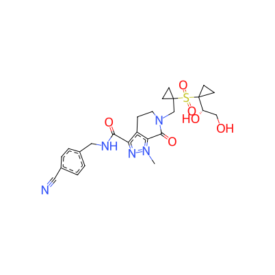 Cn1nc(C(=O)NCc2ccc(C#N)cc2)c2c1C(=O)N(CC1(S(=O)(=O)C3([C@@H](O)CO)CC3)CC1)CC2